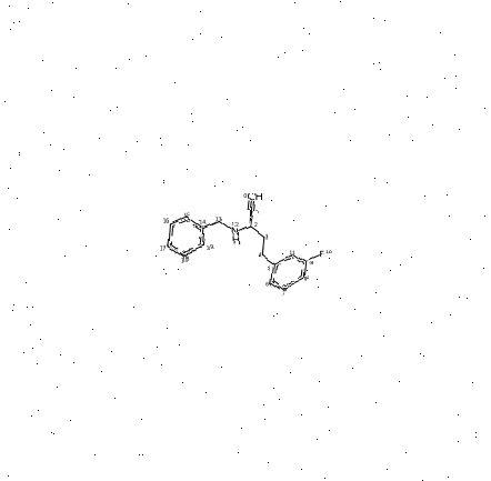 C#C[C@@H](CCc1cccc(F)c1)NCc1ccccc1